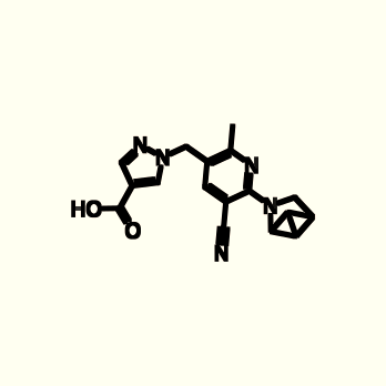 Cc1nc(N2CC3C4C3C42)c(C#N)cc1Cn1cc(C(=O)O)cn1